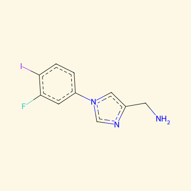 NCc1cn(-c2ccc(I)c(F)c2)cn1